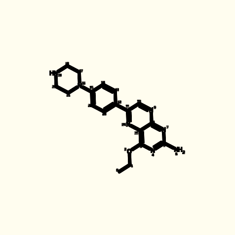 CCOc1nc(N)nc2ncc(-c3ccc(N4CCNCC4)cc3)nc12